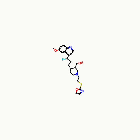 COc1ccc2nccc(C(F)CC[C@@H]3CCN(CCSc4ncco4)C[C@@H]3CO)c2c1